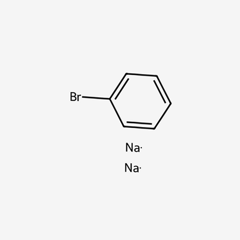 Brc1ccccc1.[Na].[Na]